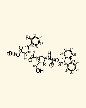 CC(C)(C)OC(=O)N[C@@H](CC(=O)N1C[C@H](NC(=O)OCC2c3ccccc3-c3ccccc32)CC1CO)Cc1ccccc1F